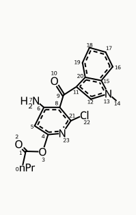 CCCC(=O)Oc1cc(N)c(C(=O)c2cn(C)c3ccccc23)c(Cl)n1